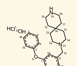 Cl.Cl.c1ccc(Oc2cccc(CN3CCC4(CCNCC4)CC3)c2)cc1